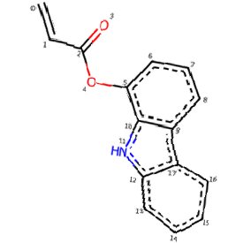 C=CC(=O)Oc1cccc2c1[nH]c1ccccc12